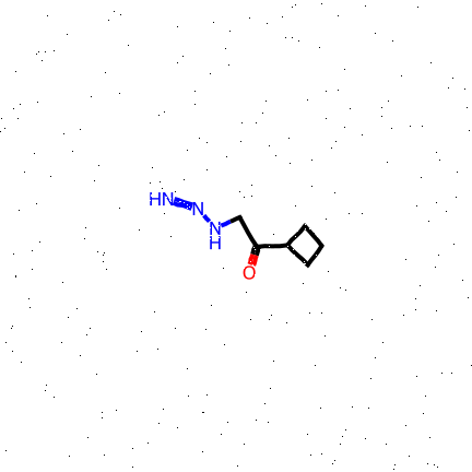 N=NNCC(=O)C1CCC1